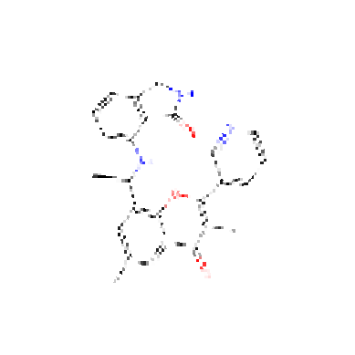 Cc1cc([C@@H](C)Nc2cccc3c2C(=O)NC3)c2oc(-c3cccnc3)c(C)c(=O)c2c1